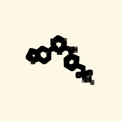 NS(=O)(=O)Cc1cccc(Nc2ncnc(N3CCc4sccc4C3)n2)c1